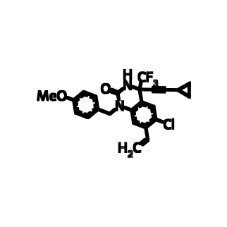 C=Cc1cc2c(cc1Cl)C(C#CC1CC1)(C(F)(F)F)NC(=O)N2Cc1ccc(OC)cc1